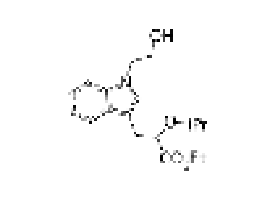 CCOC(=O)C(Cc1cn(CCO)c2ccccc12)OC(C)C